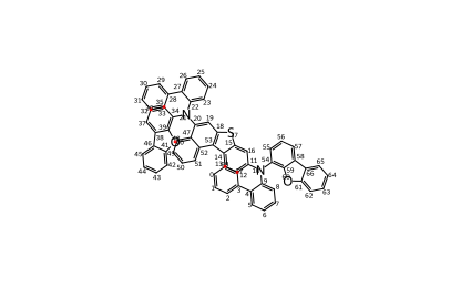 c1ccc(-c2ccccc2N(c2ccc3c(c2)sc2cc(N(c4ccccc4-c4ccccc4)c4cccc5c4oc4ccccc45)c4ccccc4c23)c2cccc3c2oc2ccccc23)cc1